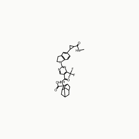 CNC(=O)C1CC1c1ccc2c(c1)CCN2c1ncc(C(=O)NC2(C(=O)O)C3CC4CC(C3)CC2C4)c(C(F)(F)F)n1